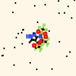 Cc1[nH]nc(N(S(=O)(=O)C(F)(F)F)S(=O)(=O)C(F)(F)F)c1S(=O)(=O)C(F)(F)F